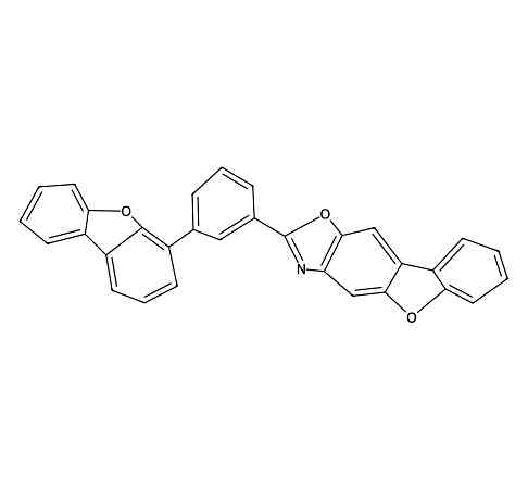 c1cc(-c2nc3cc4oc5ccccc5c4cc3o2)cc(-c2cccc3c2oc2ccccc23)c1